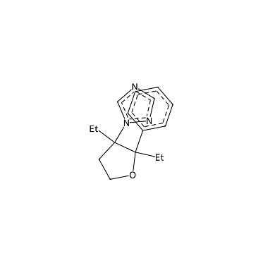 CCC1(c2ccccc2)OCCC1(CC)n1cncn1